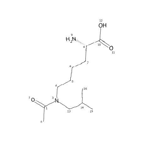 CC(=O)N(CCCC[C@H](N)C(=O)O)CC(C)C